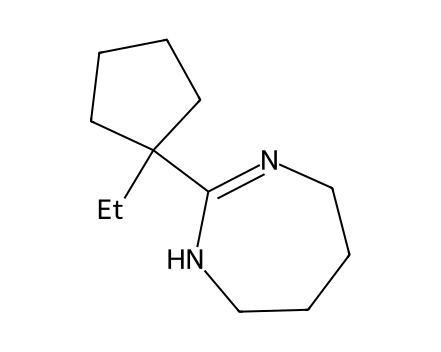 CCC1(C2=NCCCCN2)CCCC1